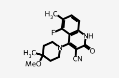 COC1(C)CCN(c2c(C#N)c(=O)[nH]c3ccc(C)c(F)c23)CC1